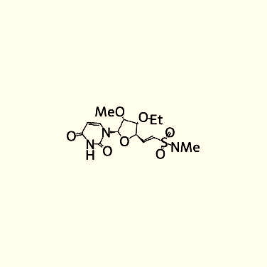 CCO[C@H]1[C@@H](OC)[C@H](n2ccc(=O)[nH]c2=O)O[C@@H]1/C=C/S(=O)(=O)NC